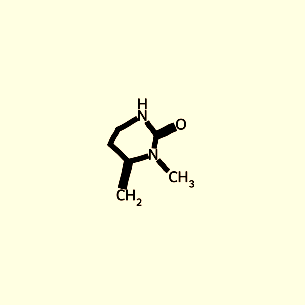 C=C1CCNC(=O)N1C